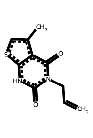 C=CCn1c(=O)[nH]c2scc(C)c2c1=O